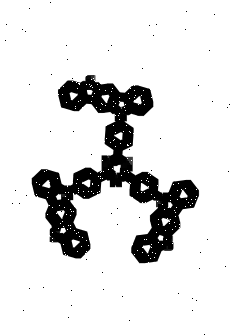 c1ccc2c(c1)sc1cc3c4ccccc4n(-c4ccc(-c5nc(-c6ccc(-n7c8ccccc8c8cc9sc%10ccccc%10c9cc87)cc6)nc(-c6ccc(-n7c8ccccc8c8cc9sc%10ccccc%10c9cc87)cc6)n5)cc4)c3cc12